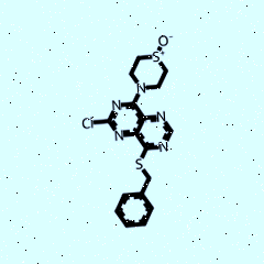 [O-][S+]1CCN(c2nc(Cl)nc3c(SCc4ccccc4)ncnc23)CC1